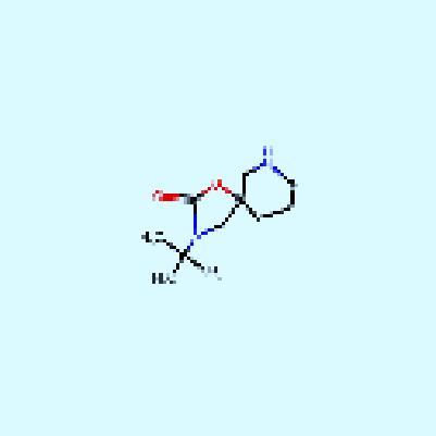 CC(C)(C)N1CC2(CCCNC2)OC1=O